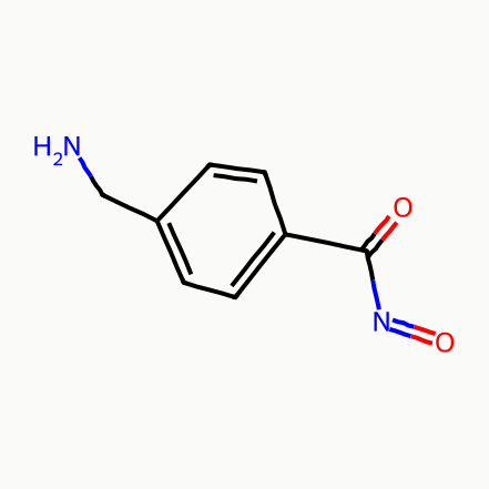 NCc1ccc(C(=O)N=O)cc1